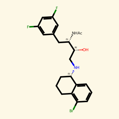 CC(=O)N[C@@H](Cc1cc(F)cc(F)c1)[C@H](O)CN[C@H]1CCCc2c(Br)cccc21